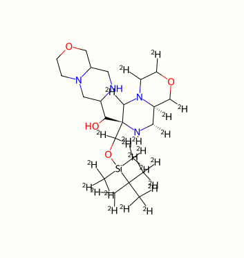 [2H]C1OC([2H])[C@@]2([2H])[C@H]([2H])N([2H])[C@](C(O)C3CN4CCOCC4CN3)(C([2H])([2H])O[Si](C([2H])([2H])[2H])(C([2H])([2H])[2H])C(C([2H])[2H])(C([2H])([2H])[2H])C([2H])([2H])[2H])C([2H])N2C1[2H]